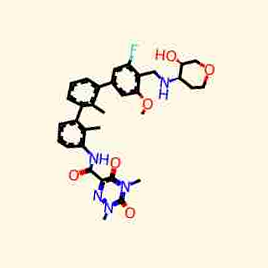 COc1cc(-c2cccc(-c3cccc(NC(=O)c4nn(C)c(=O)n(C)c4=O)c3C)c2C)cc(F)c1CN[C@@H]1CCOC[C@@H]1O